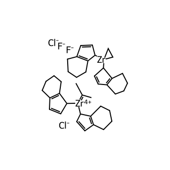 C1=C[CH]([Zr]2([CH]3C=CC4=C3CCCC4)[CH2][CH2]2)C2=C1CCCC2.C[C](C)=[Zr+4]([CH]1C=CC2=C1CCCC2)[CH]1C=CC2=C1CCCC2.[Cl-].[Cl-].[F-].[F-]